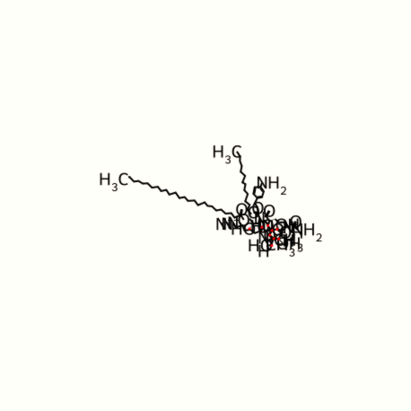 CCCCCCCCCCCCCCCCCCCCCCCCCC(=O)O[C@H](CCCCCCCCCCCCCC)[C@@H](O)[C@H](CO[C@H]1O[C@H](CO)[C@H](O)[C@H](O)[C@H]1O)N(C(=O)OCc1ccc(N)cc1)C(=O)[C@H](CCCNC(N)=O)NC(=O)[C@@H](NC(=O)CCCCCN=[N+]=[N-])C(C)C